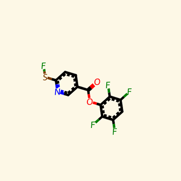 O=C(Oc1c(F)c(F)cc(F)c1F)c1ccc(SF)nc1